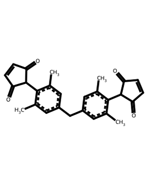 Cc1cc(Cc2cc(C)c(C3C(=O)C=CC3=O)c(C)c2)cc(C)c1C1C(=O)C=CC1=O